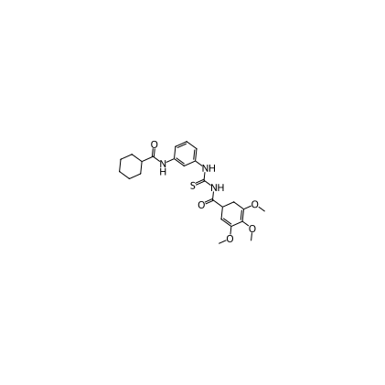 COC1=CC(C(=O)NC(=S)Nc2cccc(NC(=O)C3CCCCC3)c2)CC(OC)=C1OC